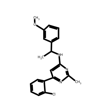 COc1cccc(C(C)Nc2cc(-c3ccccc3Cl)nc(C)n2)c1